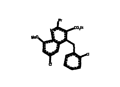 CCOC(=O)c1c(C(C)C)nc2c(OC)cc(Cl)cc2c1Cc1ccccc1Cl